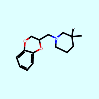 [CH2]C1(C)CCCN(CC2COc3ccccc3O2)C1